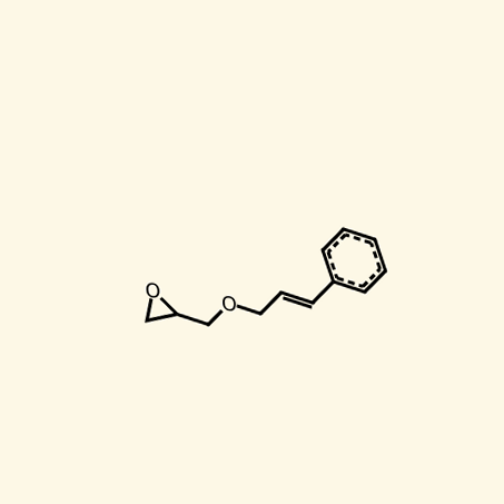 C(=Cc1ccccc1)COCC1CO1